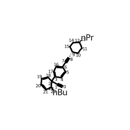 C#CC1(c2ccc(C#C[C@H]3CC[C@H](CCC)CC3)cc2)C=CC=CC1CCCC